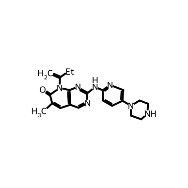 C=C(CC)n1c(=O)c(C)cc2cnc(Nc3ccc(N4CCNCC4)cn3)nc21